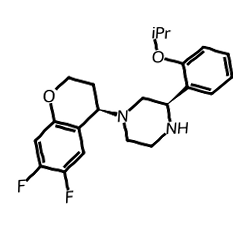 CC(C)Oc1ccccc1[C@@H]1CN([C@@H]2CCOc3cc(F)c(F)cc32)CCN1